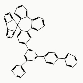 c1ccc2c(c1)-c1ccccc1C1(c3ccc(-c4cc(-c5ccncc5)nc(-c5ccc(-c6ccncc6)cc5)n4)cc3-2)c2ccccc2-c2ccccc21